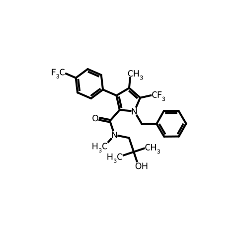 Cc1c(-c2ccc(C(F)(F)F)cc2)c(C(=O)N(C)CC(C)(C)O)n(Cc2ccccc2)c1C(F)(F)F